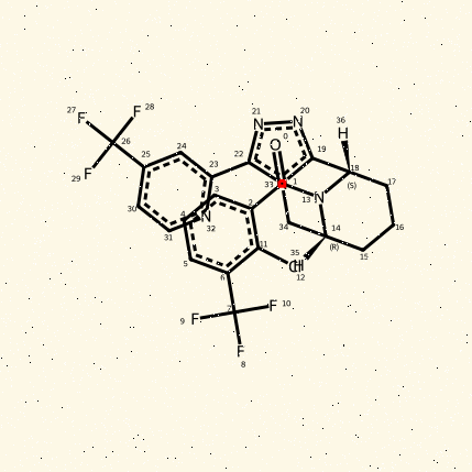 O=C(c1cccc(C(F)(F)F)c1Cl)N1[C@@H]2CCC[C@H]1c1nnc(-c3cc(C(F)(F)F)ccn3)n1C2